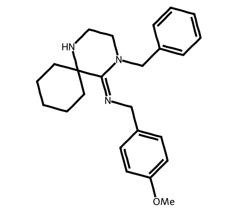 COc1ccc(C/N=C2\N(Cc3ccccc3)CCNC23CCCCC3)cc1